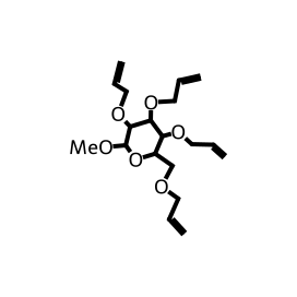 C=CCOCC1OC(OC)C(OCC=C)C(OCC=C)C1OCC=C